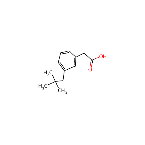 CC(C)(C)Cc1cccc(CC(=O)O)c1